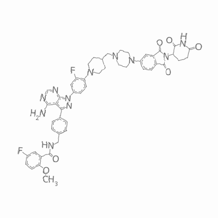 COc1ccc(F)cc1C(=O)NCc1ccc(-c2nn(-c3ccc(N4CCC(CN5CCN(c6ccc7c(c6)C(=O)N(C6CCC(=O)NC6=O)C7=O)CC5)CC4)c(F)c3)c3ncnc(N)c23)cc1